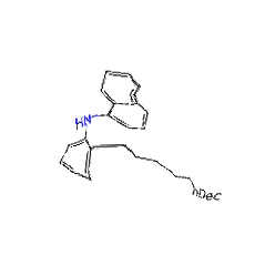 CCCCCCCCCCCCCCCc1ccccc1Nc1cccc2ccccc12